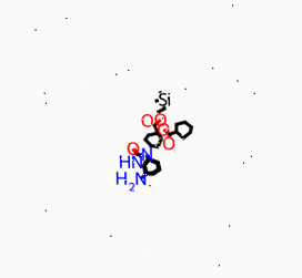 C[Si](C)(C)CCOC(=O)C1(OC(=O)C2CCCCC2)CCC(n2c(=O)[nH]c3c(N)cccc32)CC1